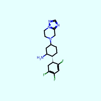 NC1CC(N2CCn3ncnc3C2)CC[C@@H]1C1CC(F)=C(F)C=C1F